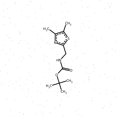 Cc1nc(CNC(=O)OC(C)(C)C)sc1C